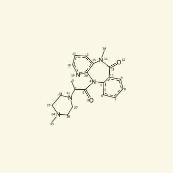 CC(C(=O)N1c2ccccc2C(=O)N(C)c2cccnc21)N1CCN(C)CC1